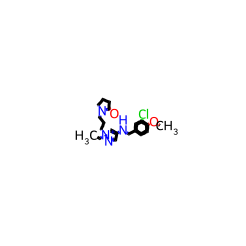 CC[N+]1(CCCN2CCCC2=O)C=C(NCc2ccc(OC)c(Cl)c2)C=N1